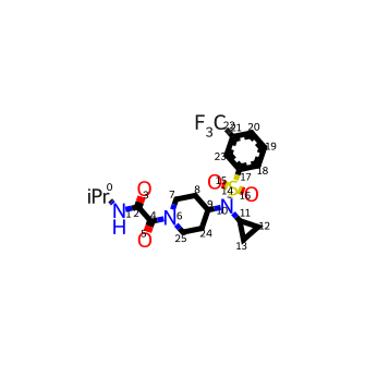 CC(C)NC(=O)C(=O)N1CCC(N(C2CC2)S(=O)(=O)c2cccc(C(F)(F)F)c2)CC1